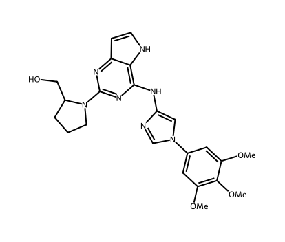 COc1cc(-n2cnc(Nc3nc(N4CCCC4CO)nc4cc[nH]c34)c2)cc(OC)c1OC